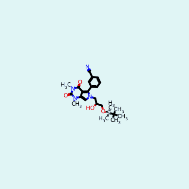 Cn1c(=O)c2c(-c3cccc(C#N)c3)n(CC(O)CO[Si](C)(C)C(C)(C)C)cc2n(C)c1=O